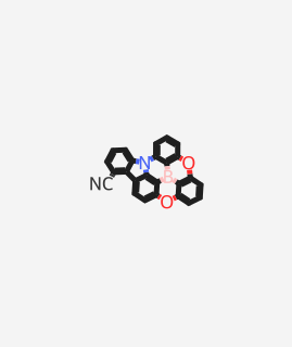 N#Cc1cccc2c1c1ccc3c4c1n2-c1cccc2c1B4c1c(cccc1O3)O2